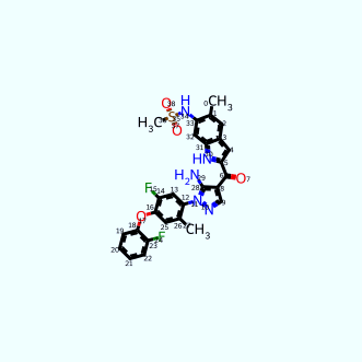 Cc1cc2cc(C(=O)c3cnn(-c4cc(F)c(Oc5ccccc5F)cc4C)c3N)[nH]c2cc1NS(C)(=O)=O